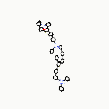 c1ccc(-c2nc(-c3ccccc3)nc(-c3cccc(-c4ccc5c(c4)sc4ccc(-c6ccccc6-n6c7ccccc7c7ccc(-c8cccc(C9=NC(c%10ccc(-c%11ccc%12c(c%11)sc%11ccc(-c%13ccccc%13-n%13c%14ccccc%14c%14ccccc%14%13)cc%11%12)cc%10)=NC(c%10ccccc%10)N9)c8)cc76)cc45)c3)n2)cc1